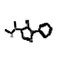 CNN(C)C1C=NN(c2ccccc2)C1=O